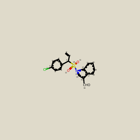 C=CC(c1ccc(Cl)cc1)S(=O)(=O)n1cc(C=O)c2ccccc21